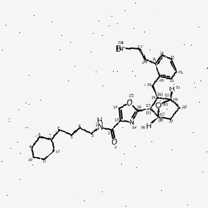 O=C(NCCCCC1CCCCC1)c1coc([C@H]2[C@@H](Cc3ccccc3CCBr)[C@@H]3CC[C@H]2O3)n1